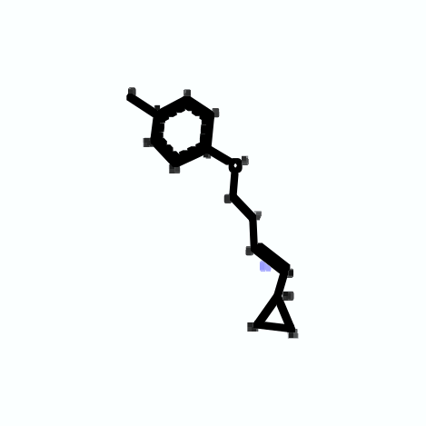 Cc1ccc(OCC/C=C/C2CC2)cc1